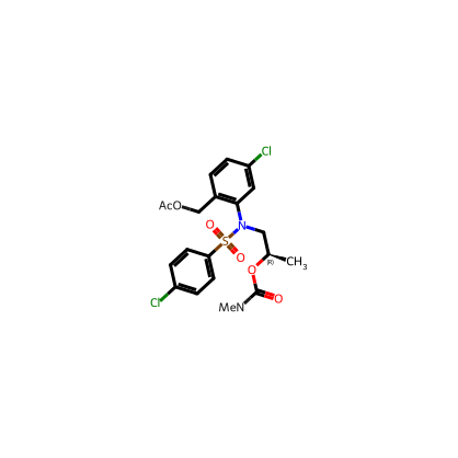 CNC(=O)O[C@H](C)CN(c1cc(Cl)ccc1COC(C)=O)S(=O)(=O)c1ccc(Cl)cc1